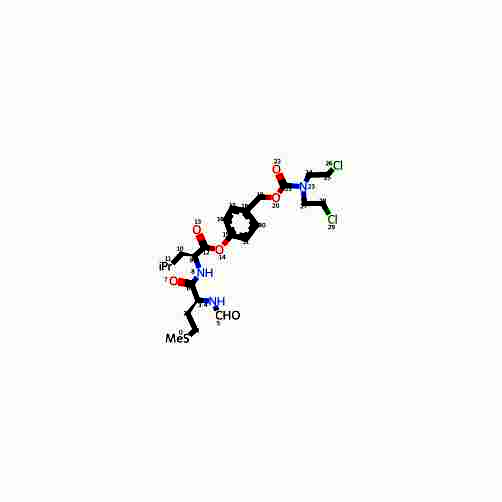 CSCC[C@H](NC=O)C(=O)N[C@@H](CC(C)C)C(=O)Oc1ccc(COC(=O)N(CCCl)CCCl)cc1